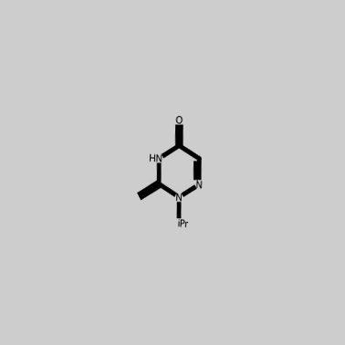 C=C1NC(=O)C=NN1C(C)C